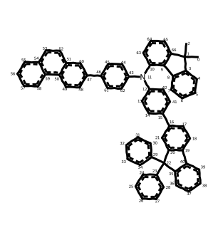 CC1(C)c2ccccc2-c2c(N(c3ccc(-c4ccc5c(c4)C(c4ccccc4)(c4ccccc4)c4ccccc4-5)cc3)c3ccc(-c4ccc5c(ccc6ccccc65)c4)cc3)cccc21